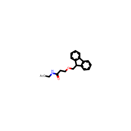 CC(=O)OCNC(=O)CCOCC1c2ccccc2-c2ccccc21